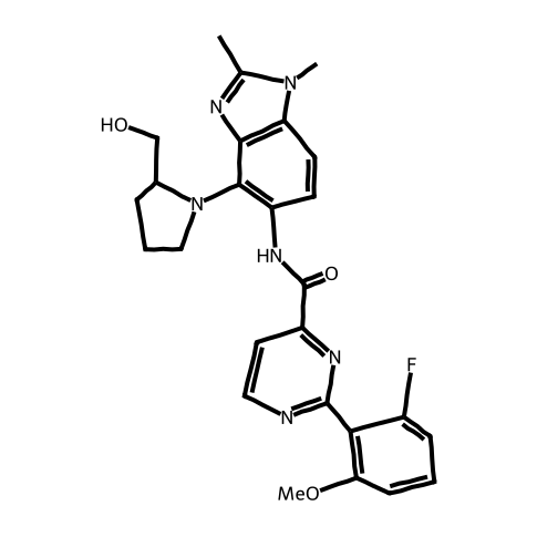 COc1cccc(F)c1-c1nccc(C(=O)Nc2ccc3c(nc(C)n3C)c2N2CCCC2CO)n1